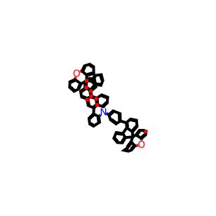 c1ccc(-c2ccc(-c3ccccc3N(c3ccc(-c4cccc5c4-c4ccccc4C54c5ccccc5Oc5ccccc54)cc3)c3cccc(-c4cccc5c4-c4ccccc4C54c5ccccc5Oc5ccccc54)c3)cc2)cc1